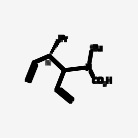 C=CC([C@H](C=C)C(C)C)N(C(=O)O)C(C)(C)C